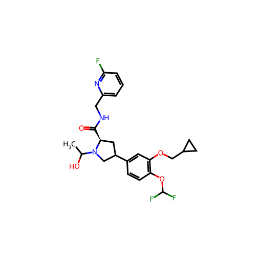 CC(O)N1CC(c2ccc(OC(F)F)c(OCC3CC3)c2)C[C@@H]1C(=O)NCc1cccc(F)n1